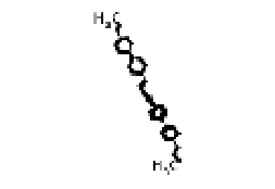 CCCC[C@H]1CC[C@H](c2ccc(C#CC=C[C@H]3CC[C@H]([C@H]4CC[C@H](CCC)CC4)CC3)cc2)CC1